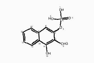 O=Cc1c(OP(=O)(O)O)cc2ccccc2c1O